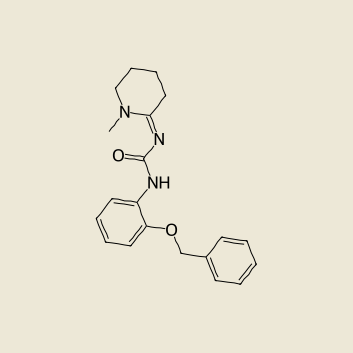 CN1CCCCC1=NC(=O)Nc1ccccc1OCc1ccccc1